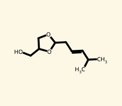 CC(C)/C=C/CC1OCC(CO)O1